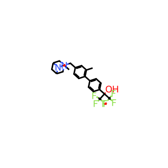 CCN1C2CC1CN(Cc1ccc(-c3ccc(C(O)(C(F)(F)F)C(F)(F)F)cc3)c(C)c1)C2